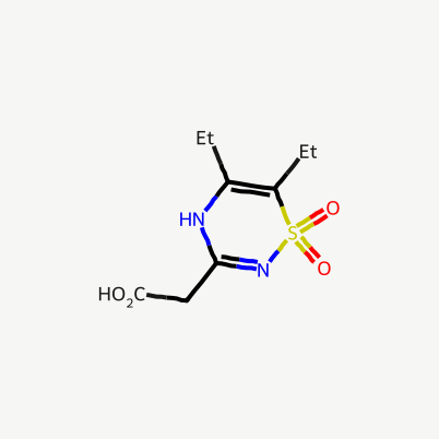 CCC1=C(CC)S(=O)(=O)N=C(CC(=O)O)N1